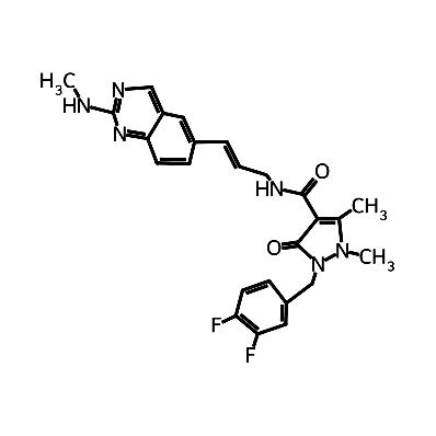 CNc1ncc2cc(/C=C/CNC(=O)c3c(C)n(C)n(Cc4ccc(F)c(F)c4)c3=O)ccc2n1